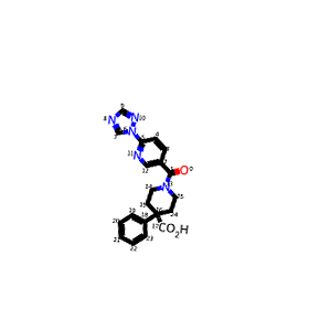 O=C(c1ccc(-n2cncn2)nc1)N1CCC(C(=O)O)(c2ccccc2)CC1